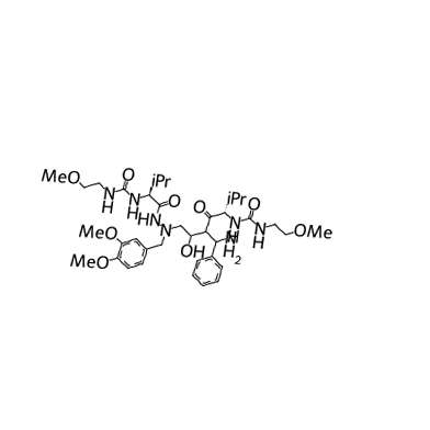 COCCNC(=O)N[C@H](C(=O)NN(Cc1ccc(OC)c(OC)c1)CC(O)C(C(=O)[C@@H](NC(=O)NCCOC)C(C)C)C(N)c1ccccc1)C(C)C